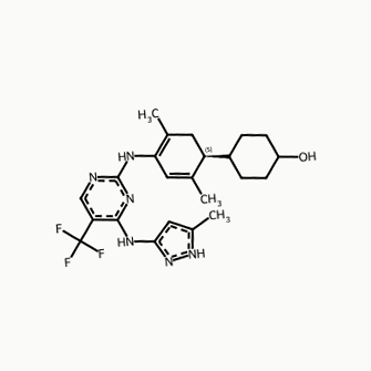 CC1=CC(Nc2ncc(C(F)(F)F)c(Nc3cc(C)[nH]n3)n2)=C(C)C[C@H]1C1CCC(O)CC1